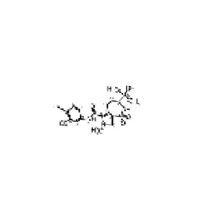 Cn1cc2c(c1C(=O)Nc1ccc(F)c(Cl)c1)CC[C@H](C(C)(C)O)NS2(=O)=O